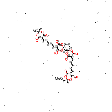 COCC1(C)OC(=O)C(/C=C/C=C/C=C2C(=O)OC3(CCCC4(C3)OC(=O)C(/C=C/C=C/C=C3C(=O)OC(C)(C(C)=O)OC3=O)=C(O)O4)OC2=O)=C(O)O1